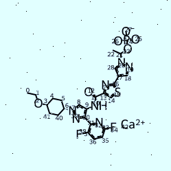 CCO[C@H]1CC[C@H](n2cc(NC(=O)c3csc(-c4cnn(C(C)OP(=O)([O-])[O-])c4)n3)c(-c3nc(F)ccc3F)n2)CC1.[Ca+2]